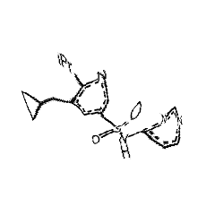 CC(C)c1ncc(S(=O)(=O)Nc2ccncn2)cc1C1CC1